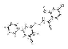 COc1cc(Cl)ccc1C(=O)NCCc1nc(-c2ccncn2)cc(=O)n1C